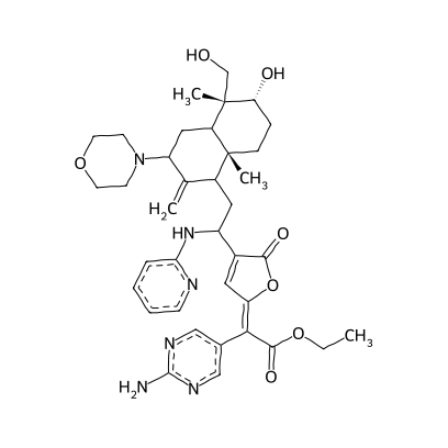 C=C1C(N2CCOCC2)CC2[C@](C)(CC[C@@H](O)[C@@]2(C)CO)C1CC(Nc1ccccn1)C1=C/C(=C(/C(=O)OCC)c2cnc(N)nc2)OC1=O